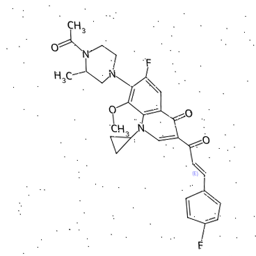 COc1c(N2CCN(C(C)=O)C(C)C2)c(F)cc2c(=O)c(C(=O)/C=C/c3ccc(F)cc3)cn(C3CC3)c12